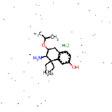 CCC1(CC)c2cc(O)ccc2CC(OC(C)C)C1N.Cl